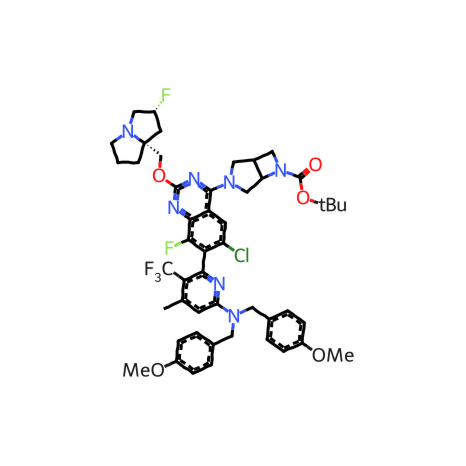 COc1ccc(CN(Cc2ccc(OC)cc2)c2cc(C)c(C(F)(F)F)c(-c3c(Cl)cc4c(N5CC6CN(C(=O)OC(C)(C)C)C6C5)nc(OC[C@]56CCCN5C[C@H](F)C6)nc4c3F)n2)cc1